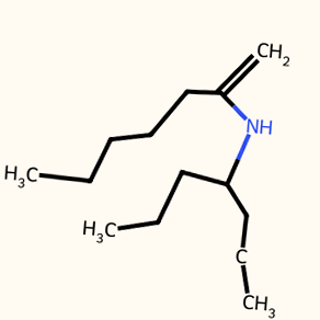 C=C(CCCCC)NC(CCC)CCC